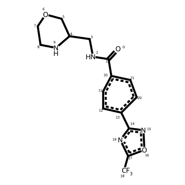 O=C(NCC1COCCN1)c1ccc(-c2noc(C(F)(F)F)n2)cc1